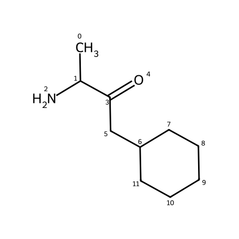 CC(N)C(=O)CC1CCCCC1